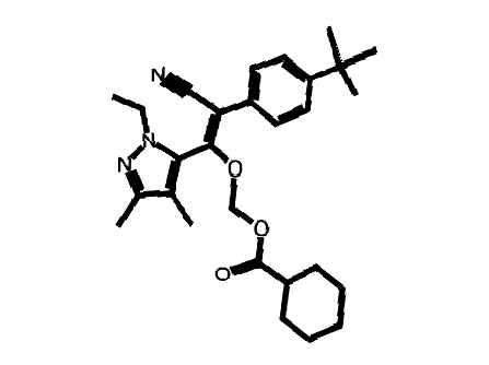 CCn1nc(C)c(C)c1/C(OCOC(=O)C1CCCCC1)=C(\C#N)c1ccc(C(C)(C)C)cc1